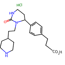 Cl.O=C(O)CCc1ccc(C2CCNC(=O)N2CCC2CCNCC2)cc1